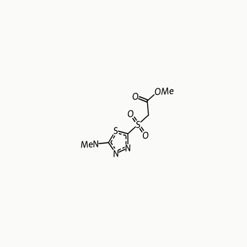 CNc1nnc(S(=O)(=O)CC(=O)OC)s1